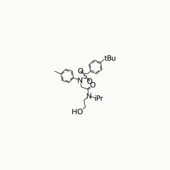 Cc1ccc(N(CC(=O)N(CCO)C(C)C)S(=O)(=O)c2ccc(C(C)(C)C)cc2)cc1